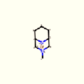 CN1CC2CCCC(C1)N2Br